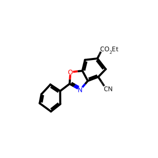 CCOC(=O)c1cc(C#N)c2nc(-c3ccccc3)oc2c1